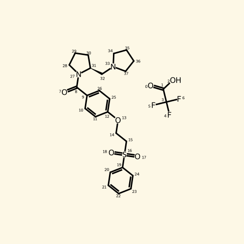 O=C(O)C(F)(F)F.O=C(c1ccc(OCCS(=O)(=O)c2ccccc2)cc1)N1CCC[C@H]1CN1CCCC1